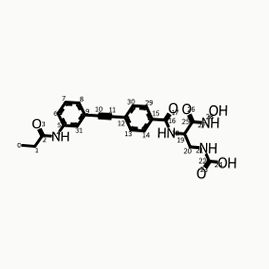 CCC(=O)Nc1cccc(C#Cc2ccc(C(=O)NC(CNC(=O)O)C(=O)NO)cc2)c1